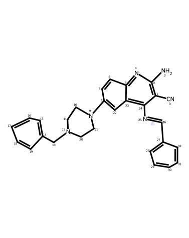 N#Cc1c(N)nc2ccc(N3CCN(Cc4ccccc4)CC3)cc2c1/N=C/c1ccccc1